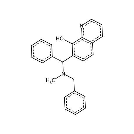 CN(Cc1ccccc1)C(c1ccccc1)c1ccc2cccnc2c1O